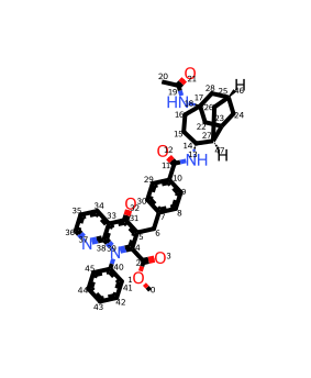 COC(=O)c1c(Cc2ccc(C(=O)N[C@@H]3CC[C@@]4(NC(C)=O)CC5C[C@H](C[C@@H]53)C4)cc2)c(=O)c2cccnc2n1-c1ccccc1